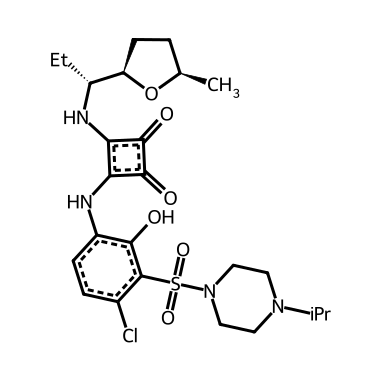 CC[C@@H](Nc1c(Nc2ccc(Cl)c(S(=O)(=O)N3CCN(C(C)C)CC3)c2O)c(=O)c1=O)[C@H]1CC[C@@H](C)O1